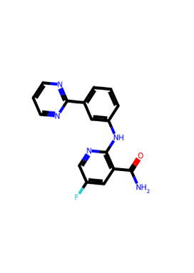 NC(=O)c1cc(F)cnc1Nc1cccc(-c2ncccn2)c1